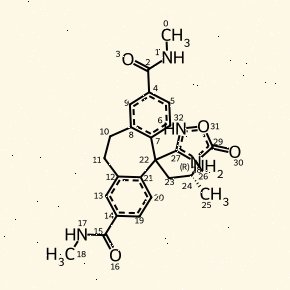 CNC(=O)c1ccc2c(c1)CCc1cc(C(=O)NC)ccc1C2(C[C@@H](C)N)c1nc(=O)o[nH]1